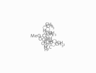 COC(=O)c1cc(C[C@]2(C)[C@@H](C)CC[C@]3(C)C(C)=CCC[C@@H]23)c(O)c(NC2=CC(=O)C(O)=C(C[C@]3(C)[C@@H](C)CC[C@]4(C)C(C)=CCC[C@@H]34)C2=O)c1O